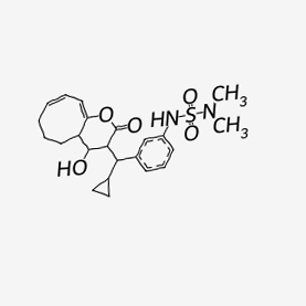 CN(C)S(=O)(=O)Nc1cccc(C(C2CC2)C2C(=O)OC3=CC=CCCCC3C2O)c1